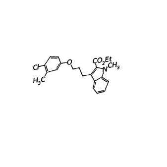 CCOC(=O)c1c(CCCOc2ccc(Cl)c(C)c2)c2ccccc2n1C